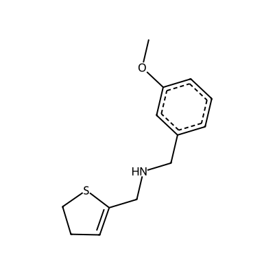 COc1cccc(CNCC2=CCCS2)c1